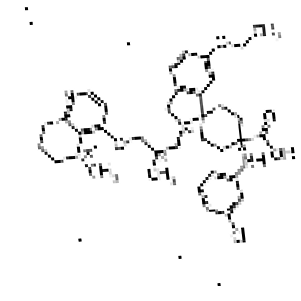 CCOc1ccc2c(c1)C1(CCC(Nc3cccc(Cl)c3)(C(=O)O)CC1)[C@@H](C[C@@H](C)COc1ccnc3c1[C@H](C)CCC3)C2